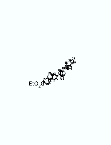 CCOC(=O)N1CCN(c2ccc(N3C[C@H](CNC(=S)CC4CCC4)OC3=O)cc2F)CC1